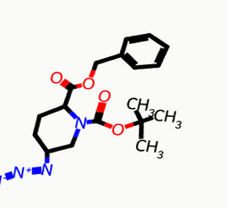 CC(C)(C)OC(=O)N1CC(N=[N+]=[N-])CCC1C(=O)OCc1ccccc1